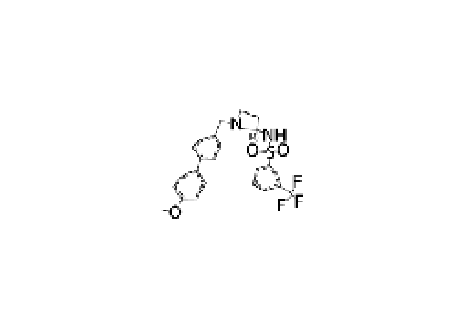 COc1ccc(-c2ccc(CN3CC[C@@H](NS(=O)(=O)c4cccc(C(F)(F)F)c4)C3)cc2)cc1